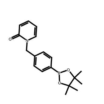 CC1(C)OB(c2ccc(Cn3ccccc3=O)cc2)OC1(C)C